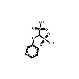 O=S(=O)(O)C(Oc1cccnn1)S(=O)(=O)O